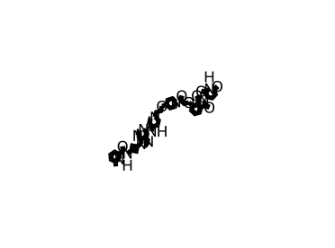 Cc1cccc(C(=O)NC2CC(n3cnc4c(NC5CCN(CCOC6CCN(C(=O)COc7cccc8c7C(=O)N([C@H]7CCC(=O)NC7=O)C8=O)CC6)CC5)ncnc43)C2)n1